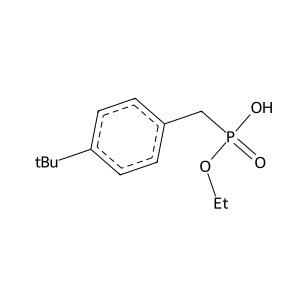 CCOP(=O)(O)Cc1ccc(C(C)(C)C)cc1